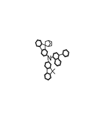 CC1(C)c2ccccc2-c2ccc(N(c3ccc4c(c3)C3(CC5CCC3C5)c3ccccc3-4)c3ccc(-c4ccccc4)c4ccccc34)cc21